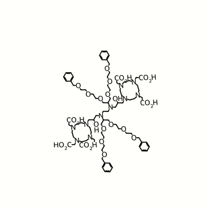 O=C(O)CN1CCN(CC(=O)O)CCN(CC(O)CN(CCN(CC(O)CN2CCN(CC(=O)O)CCN(CC(=O)O)CCN(CC(=O)O)CC2)C(COCCOCCOCc2ccccc2)COCCOCCOCc2ccccc2)C(COCCOCCOCc2ccccc2)COCCOCCOCc2ccccc2)CCN(CC(=O)O)CC1